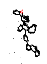 c1ccc2c(c1)ccc1c(-c3ccc(-c4c5ccccc5c(-c5ccc6oc7ccccc7c6c5)c5ccccc45)cc3)cccc12